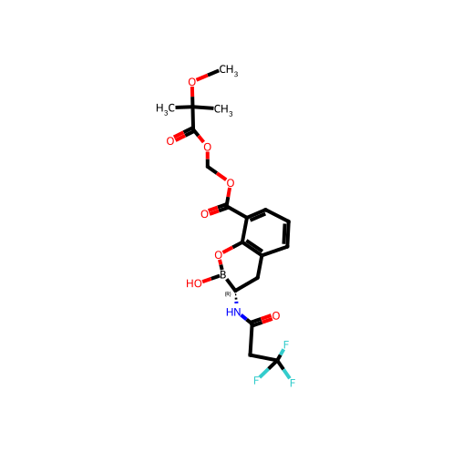 COC(C)(C)C(=O)OCOC(=O)c1cccc2c1OB(O)[C@@H](NC(=O)CC(F)(F)F)C2